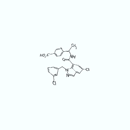 CC(NC(=O)c1cc(Cl)cc2cnn(Cc3cccc(Cl)c3)c12)c1ccc(C(=O)O)cc1